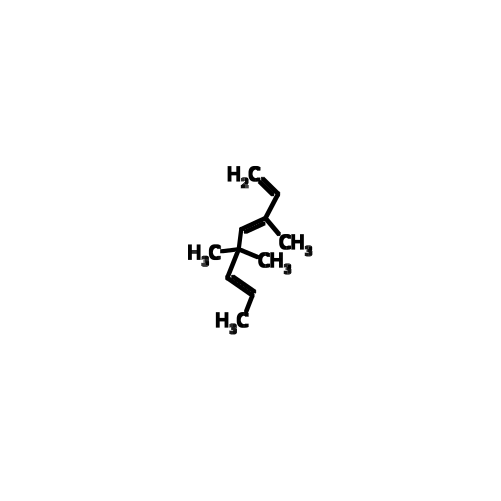 C=CC(C)=CC(C)(C)C=CC